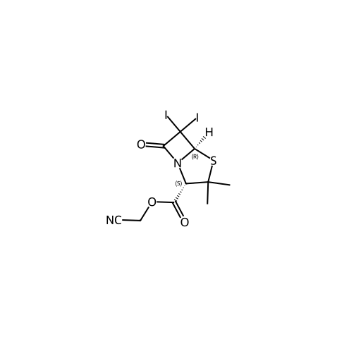 CC1(C)S[C@H]2N(C(=O)C2(I)I)[C@H]1C(=O)OCC#N